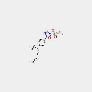 CCCCC(C)c1ccc(-c2nnc(S(C)(=O)=O)o2)cc1